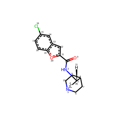 O=C(N[C@H]1CN2CCC1CC2)c1cc2cc(Cl)ccc2o1